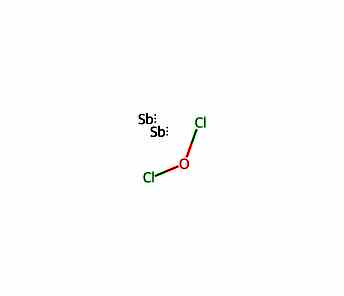 ClOCl.[Sb].[Sb]